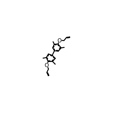 C=CCOc1c(C)cc(-c2cc(C)c(OCC=C)c(C)c2)cc1C